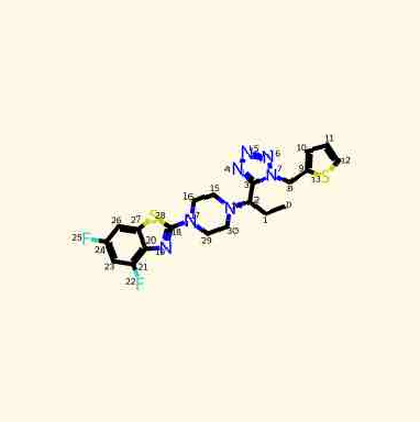 CCC(c1nnnn1Cc1cccs1)N1CCN(c2nc3c(F)cc(F)cc3s2)CC1